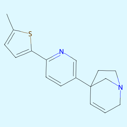 Cc1ccc(-c2ccc(C34C=CCN(CC3)C4)cn2)s1